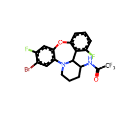 O=C(NC1CCCN2c3cc(Br)c(F)cc3Oc3cccc(F)c3C12)C(F)(F)F